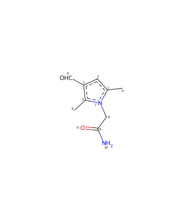 Cc1cc(C=O)c(C)n1CC(N)=O